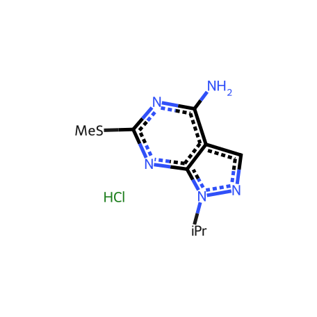 CSc1nc(N)c2cnn(C(C)C)c2n1.Cl